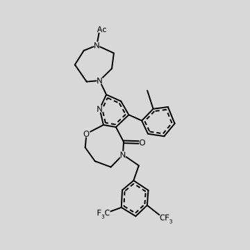 CC(=O)N1CCCN(c2cc(-c3ccccc3C)c3c(n2)OCCCN(Cc2cc(C(F)(F)F)cc(C(F)(F)F)c2)C3=O)CC1